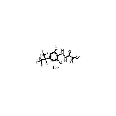 O=C([O-])C(=O)NNc1c(Cl)cc(C(F)(C(F)(F)F)C(F)(F)F)cc1Cl.[Na+]